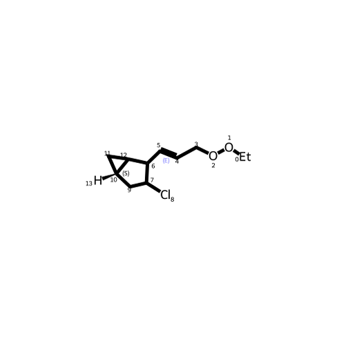 CCOOC/C=C/C1C(Cl)C[C@@H]2CC12